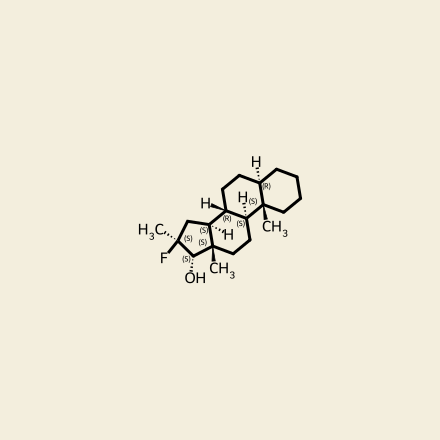 C[C@]12CCCC[C@@H]1CC[C@@H]1[C@@H]2CC[C@@]2(C)[C@H]1C[C@](C)(F)[C@H]2O